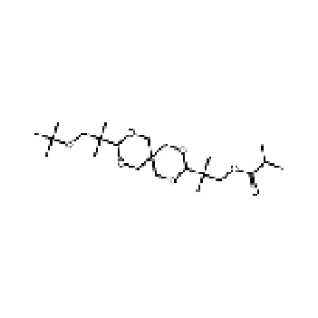 CC(C)C(=O)OCC(C)(C)C1OCC2(CO1)COC(C(C)(C)COC(C)(C)C)OC2